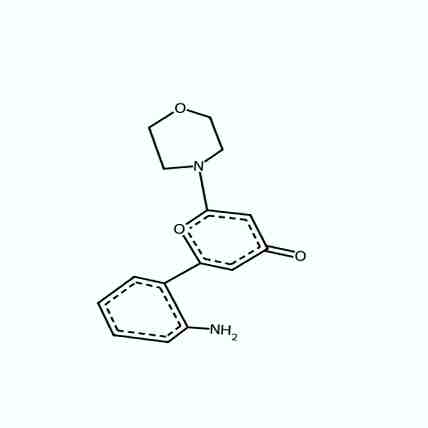 Nc1ccccc1-c1cc(=O)cc(N2CCOCC2)o1